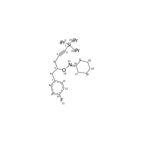 CC(C)[Si](C#CCC(Cc1ccc(F)cc1)ON=C1CCCCC1)(C(C)C)C(C)C